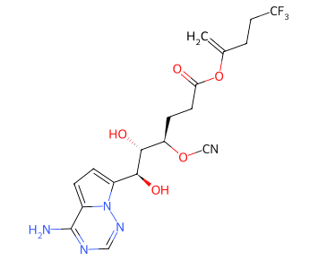 C=C(CCC(F)(F)F)OC(=O)CC[C@@H](OC#N)[C@@H](O)[C@@H](O)c1ccc2c(N)ncnn12